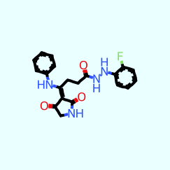 O=C(CCC(Nc1ccccc1)=C1C(=O)CNC1=O)NNc1ccccc1F